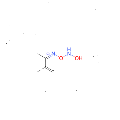 C=C(C)/C(C)=N\ONO